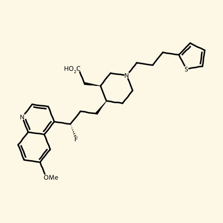 COc1ccc2nccc([C@@H](F)CC[C@@H]3CCN(CCCc4cccs4)C[C@@H]3CC(=O)O)c2c1